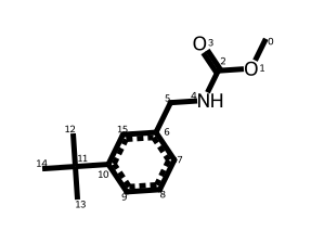 COC(=O)NCc1cccc(C(C)(C)C)c1